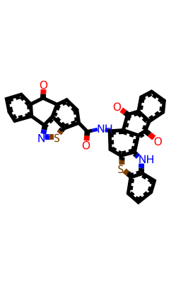 O=C(Nc1cc2sc3ccccc3[nH]c2c2c(=O)c3ccccc3c(=O)c12)c1ccc2c3c(nsc13)-c1ccccc1C2=O